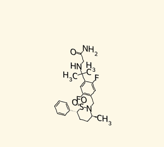 C[C@H]1CC[C@H](c2ccccc2)S(=O)(=O)N1Cc1cc(F)c(C(C)(C)NCC(N)=O)cc1F